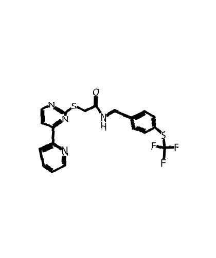 O=C(CSc1nccc(-c2ccccn2)n1)NCc1ccc(SC(F)(F)F)cc1